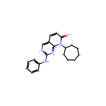 O=c1ccc2cnc(Nc3ccccc3)nc2n1C1CCCCCC1